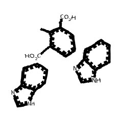 Cc1c(C(=O)O)cccc1C(=O)O.c1ccc2[nH]cnc2c1.c1ccc2[nH]cnc2c1